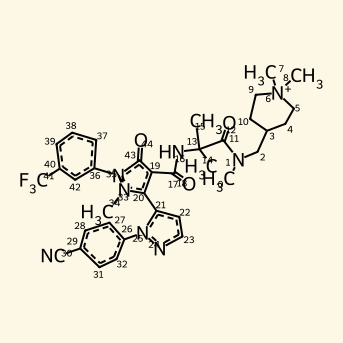 CN(CC1CC[N+](C)(C)CC1)C(=O)C(C)(C)NC(=O)c1c(-c2ccnn2-c2ccc(C#N)cc2)n(C)n(-c2cccc(C(F)(F)F)c2)c1=O